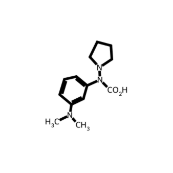 CN(C)c1cccc(N(C(=O)O)N2CCCC2)c1